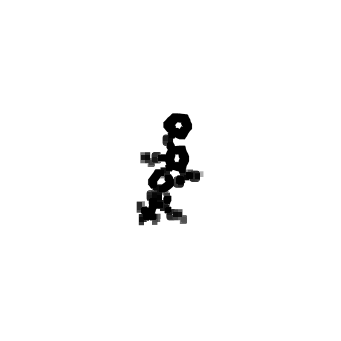 Cc1c(Oc2ccccc2)ccc([N+](=O)[O-])c1N1CCN[C@@H](CN(C)C(=O)C(F)(F)F)C1